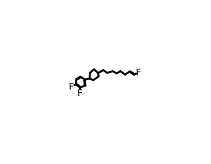 F/C=C/CCCCCCC1CCC(c2ccc(F)c(F)c2)CC1